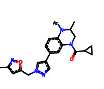 CC(=O)N1c2ccc(-c3cnn(Cc4cc(C)no4)c3)cc2N(C(=O)C2CC2)CC1C